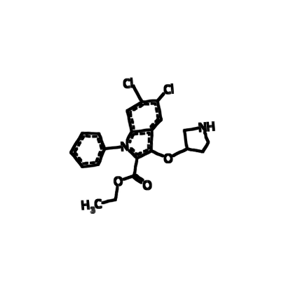 CCOC(=O)c1c(OC2CCNC2)c2cc(Cl)c(Cl)cc2n1-c1ccccc1